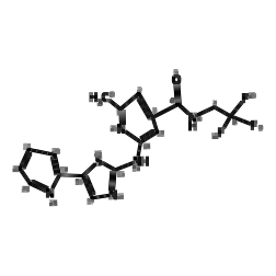 Cc1cc(C(=O)NCC(F)(F)F)cc(Nc2ncc(-c3ccccn3)s2)n1